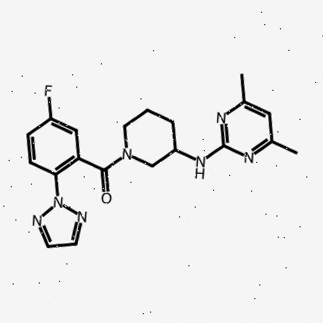 Cc1cc(C)nc(NC2CCCN(C(=O)c3cc(F)ccc3-n3nccn3)C2)n1